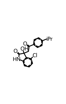 CC(C)c1ccc(C(=O)CC2(O)C(=O)Nc3cccc(Cl)c32)cc1